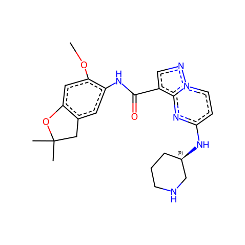 COc1cc2c(cc1NC(=O)c1cnn3ccc(N[C@@H]4CCCNC4)nc13)CC(C)(C)O2